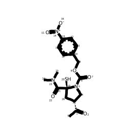 CC(=O)[C@H]1CN(C(=O)OCc2ccc([N+](=O)[O-])cc2)[C@@](S)(C(=O)N(C)C)C1